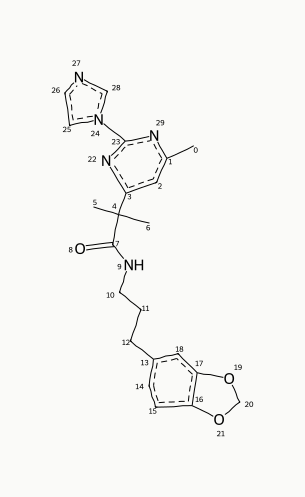 Cc1cc(C(C)(C)C(=O)NCCCc2ccc3c(c2)OCO3)nc(-n2ccnc2)n1